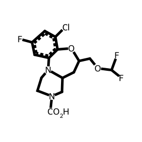 O=C(O)N1CCN2c3cc(F)cc(Cl)c3OC(COC(F)F)CC2C1